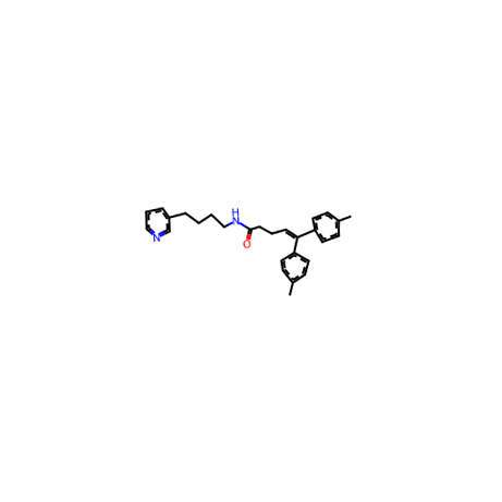 Cc1ccc(C(=CCCC(=O)NCCCCc2cccnc2)c2ccc(C)cc2)cc1